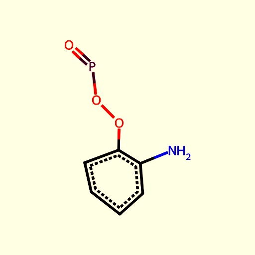 Nc1ccccc1OOP=O